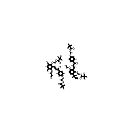 C=CC(C)(C)c1ccc(OCC)c(/C=C/C(=O)c2ccc(OCOC(=O)C(C)(C)C)cc2)c1OCOC(=O)C(C)(C)C.CCCOc1c(C)cc(C)c(OCOC(=O)C(C)(C)C)c1/C=C/C(=O)c1ccc(OCOC(=O)C(C)(C)C)cc1